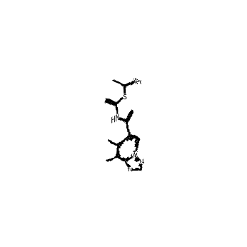 C=C(NC(=C)c1cn2ncnc2c(C)c1C)SC(C)C(C)C